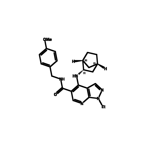 CCn1ncc2c(N[C@H]3C[C@H]4CC[C@@H]3C4)c(C(=O)NCc3ccc(OC)cc3)cnc21